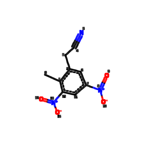 Cc1c(CC#N)cc([N+](=O)[O-])cc1[N+](=O)[O-]